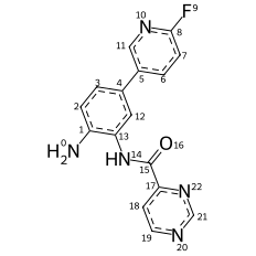 Nc1ccc(-c2ccc(F)nc2)cc1NC(=O)c1ccncn1